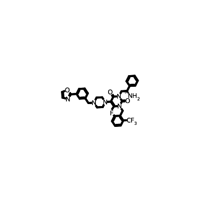 Cc1c(N2CCN(Cc3cccc(-c4ncco4)c3)CC2)c(=O)n(C[C@H](N)c2ccccc2)c(=O)n1Cc1c(F)cccc1C(F)(F)F